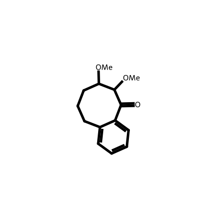 COC1CCCc2ccccc2C(=O)C1OC